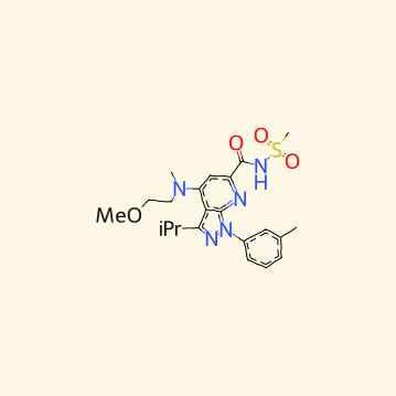 COCCN(C)c1cc(C(=O)NS(C)(=O)=O)nc2c1c(C(C)C)nn2-c1cccc(C)c1